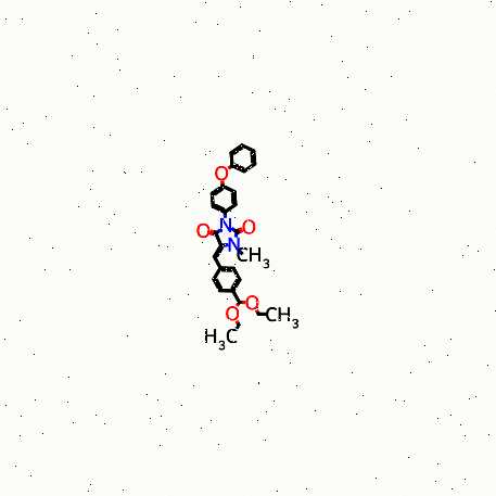 CCOC(OCC)c1ccc(C=C2C(=O)N(c3ccc(Oc4ccccc4)cc3)C(=O)N2C)cc1